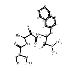 CC[C@H](C)C(NC(=O)[C@H](CC(C)C)NC(=O)O)C(=O)C(=O)NC(Cc1ccc2ccccc2c1)C(=O)N(C)C